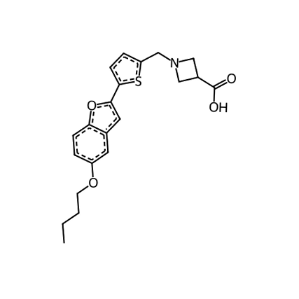 CCCCOc1ccc2oc(-c3ccc(CN4CC(C(=O)O)C4)s3)cc2c1